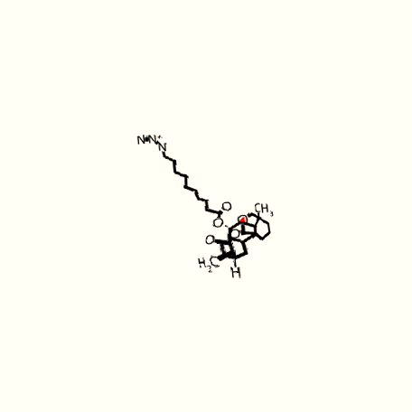 C=C1C(=O)[C@]23CC[C@H]1CC2C12CCC[C@@](C)(COC1=O)C2C[C@H]3OC(=O)CCCCCCCCCN=[N+]=[N-]